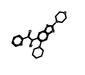 O=C(c1ccccn1)N(Br)c1cc2sc(N3CCOCC3)nc2cc1N1CCCCC1